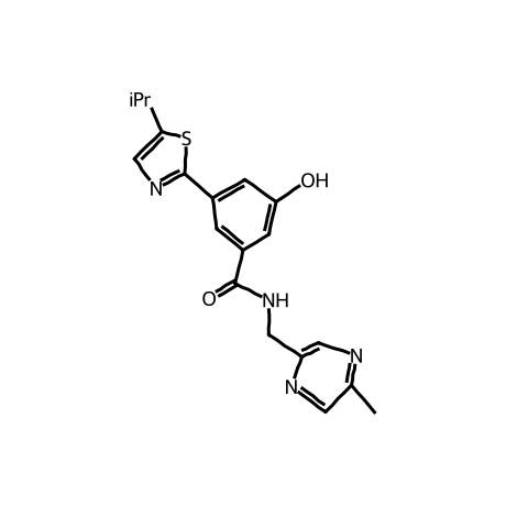 Cc1cnc(CNC(=O)c2cc(O)cc(-c3ncc(C(C)C)s3)c2)cn1